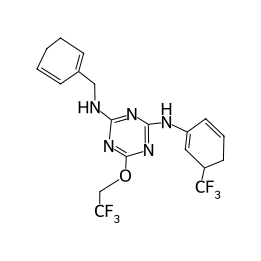 FC(F)(F)COc1nc(NCC2=CCCC=C2)nc(NC2=CC(C(F)(F)F)CC=C2)n1